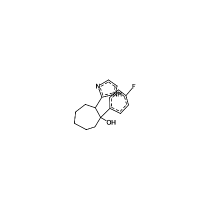 OC1(c2ccc(F)cc2)CCCCCC1c1ncc[nH]1